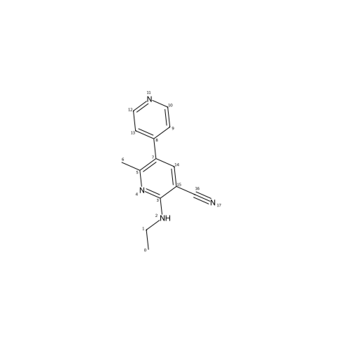 CCNc1nc(C)c(-c2ccncc2)cc1C#N